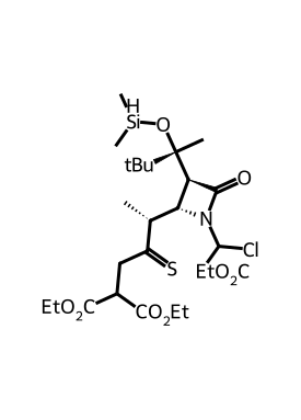 CCOC(=O)C(CC(=S)[C@H](C)[C@@H]1[C@@H]([C@@](C)(O[SiH](C)C)C(C)(C)C)C(=O)N1C(Cl)C(=O)OCC)C(=O)OCC